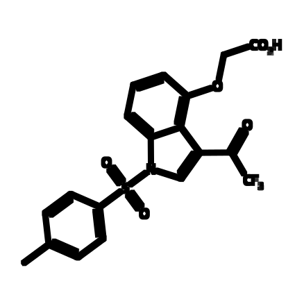 Cc1ccc(S(=O)(=O)n2cc(C(=O)C(F)(F)F)c3c(OCC(=O)O)cccc32)cc1